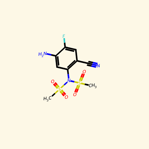 CS(=O)(=O)N(c1cc(N)c(F)cc1C#N)S(C)(=O)=O